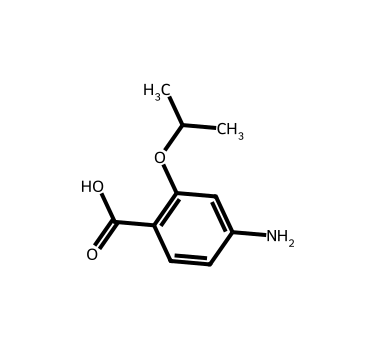 CC(C)Oc1cc(N)ccc1C(=O)O